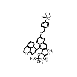 Cc1cc2nc(OCc3ccc(S(C)(=O)=O)cc3)ccc2c(-c2ccc3c4c(ccnc24)CCO3)c1C(OC(C)(C)C)C(=O)O